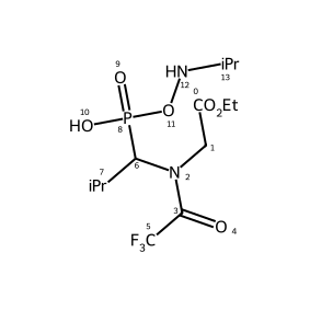 CCOC(=O)CN(C(=O)C(F)(F)F)C(C(C)C)P(=O)(O)ONC(C)C